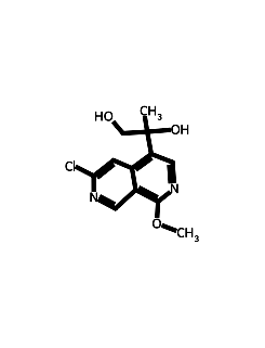 COc1ncc(C(C)(O)CO)c2cc(Cl)ncc12